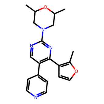 Cc1occc1-c1nc(N2CC(C)OC(C)C2)ncc1-c1ccncc1